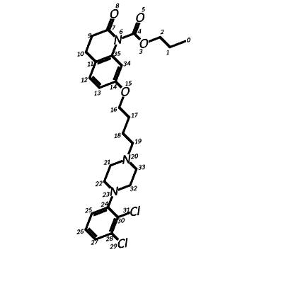 CCCOC(=O)N1C(=O)CCc2ccc(OCCCCN3CCN(c4cccc(Cl)c4Cl)CC3)cc21